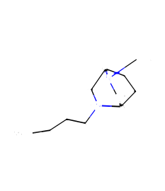 COCCCN1CC2CCC1CN2C